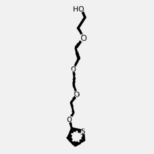 OCCOCCOCCOCCOc1cccs1